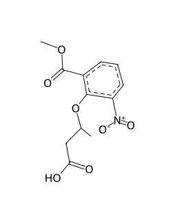 COC(=O)c1cccc([N+](=O)[O-])c1OC(C)CC(=O)O